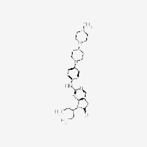 CCC(CC)N1C(=O)Cc2cnc(Nc3ccc(N4CCC(N5CCN(C)CC5)CC4)cc3)nc21